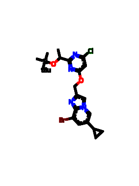 CC(O[Si](C)(C)C(C)(C)C)c1nc(Cl)cc(OCc2cn3cc(C4CC4)cc(Br)c3n2)n1